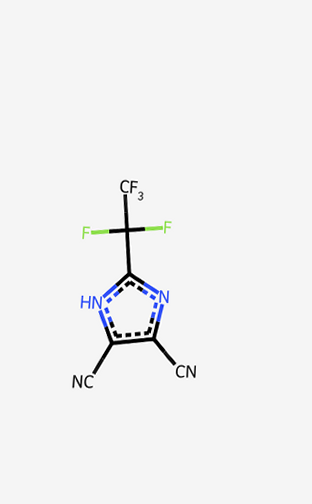 N#Cc1nc(C(F)(F)C(F)(F)F)[nH]c1C#N